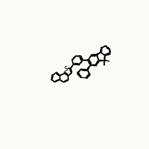 CC1(C)c2ccccc2-c2cc(-c3cccc(-c4cc5ccc6ccccc6c5s4)c3)c(-c3ccccc3)cc21